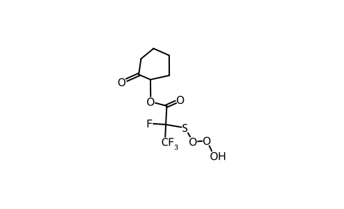 O=C1CCCCC1OC(=O)C(F)(SOOO)C(F)(F)F